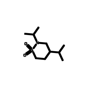 CC(C)C1CCS(=O)(=O)N(C(C)C)C1